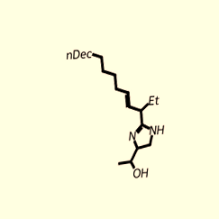 CCCCCCCCCCCCCCC=CC(CC)C1=NC(C(C)O)CN1